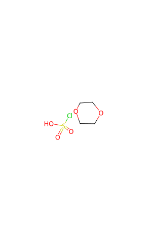 C1COCCO1.O=S(=O)(O)Cl